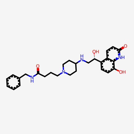 O=C(CCCN1CCC(NC[C@H](O)c2ccc(O)c3[nH]c(=O)ccc23)CC1)NCc1ccccc1